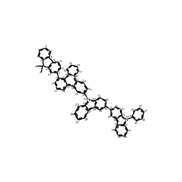 CC1(C)c2ccccc2-c2ccc(-c3cccc4c5cc(-n6c7ccccc7c7cc(-c8ccc9c(c8)c8ccccc8n9-c8ccccc8)ccc76)ccc5c5ccccc5c34)cc21